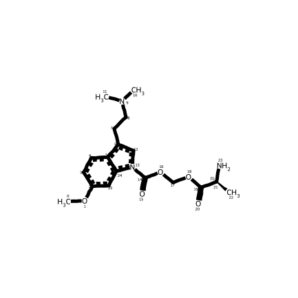 COc1ccc2c(CCN(C)C)cn(C(=O)OCOC(=O)[C@H](C)N)c2c1